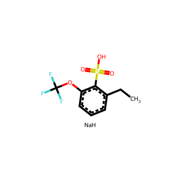 CCc1cccc(OC(F)(F)F)c1S(=O)(=O)O.[NaH]